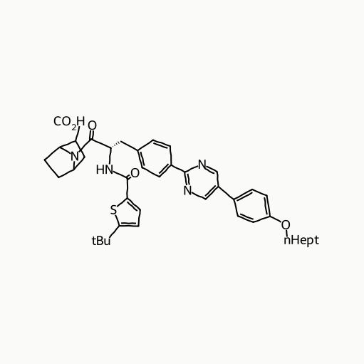 CCCCCCCOc1ccc(-c2cnc(-c3ccc(C[C@H](NC(=O)c4ccc(C(C)(C)C)s4)C(=O)N4C5CCC4C(C(=O)O)C5)cc3)nc2)cc1